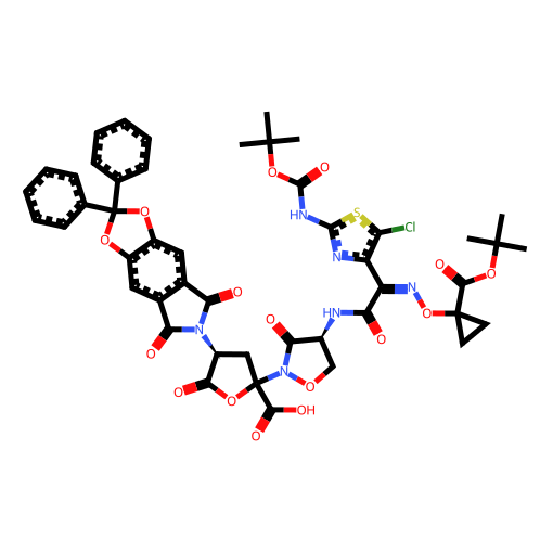 CC(C)(C)OC(=O)Nc1nc(/C(=N/OC2(C(=O)OC(C)(C)C)CC2)C(=O)N[C@H]2CON(C3(C(=O)O)C[C@H](N4C(=O)c5cc6c(cc5C4=O)OC(c4ccccc4)(c4ccccc4)O6)C(=O)O3)C2=O)c(Cl)s1